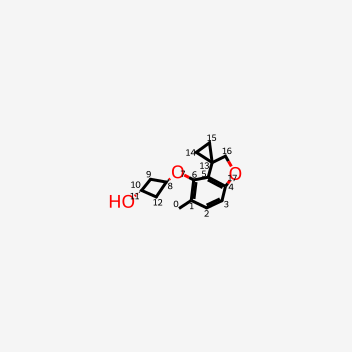 Cc1ccc2c(c1O[C@H]1C[C@@H](O)C1)C1(CC1)CO2